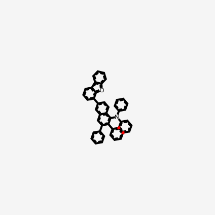 c1ccc(-c2cc3cc(-c4cccc5c4oc4ccccc45)ccc3c(N(c3ccccc3)c3ccccc3)c2-c2ccccc2)cc1